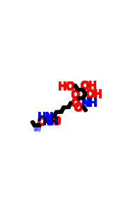 C/C=C\ONNC(=O)CCCCCOC1OC(CO)C(O)C(O)C1NC(C)=O